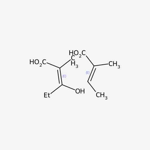 C/C=C(\C)C(=O)O.CC/C(O)=C(/C)C(=O)O